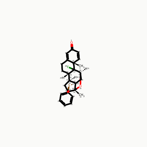 C[C@]12C=CC(=O)C=C1CC[C@H]1[C@@H]3CC[C@@]4(C)O[C@H](C[C@]34Sc3ccccc3)C12F